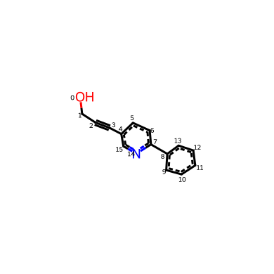 OCC#Cc1ccc(-c2ccccc2)nc1